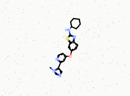 Cn1cncc1-c1cc(Oc2ccc3nc(NC4CCCCC4)sc3c2)ccn1